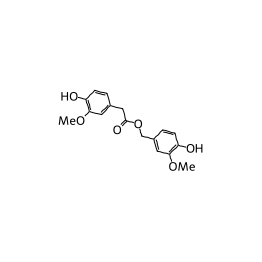 COc1cc(COC(=O)Cc2ccc(O)c(OC)c2)ccc1O